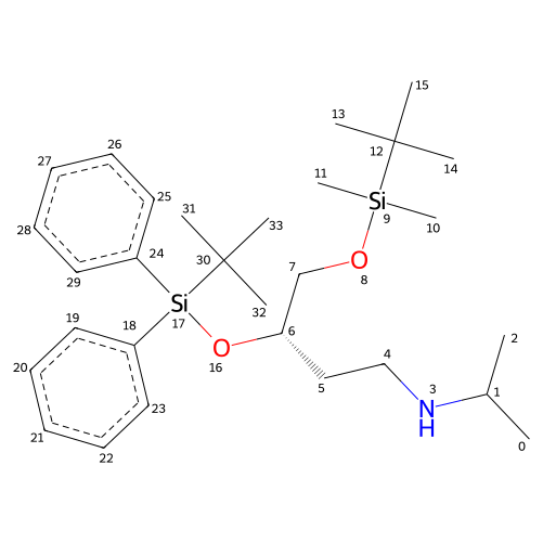 CC(C)NCC[C@@H](CO[Si](C)(C)C(C)(C)C)O[Si](c1ccccc1)(c1ccccc1)C(C)(C)C